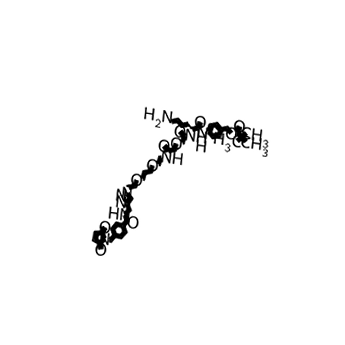 CC(C)(C)C(=O)OCc1ccc(NC(=O)[C@H](CCCCN)NC(=O)COCC(=O)NCCOCCCOCCn2cc(CNC(=O)C3CCC(CN4C(=O)C=CC4=O)CC3)nn2)cc1